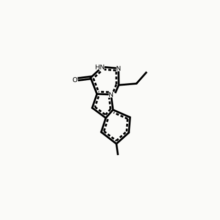 CCc1n[nH]c(=O)c2cc3cc(C)ccc3n12